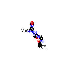 COc1cc(N2CCOCC2)ccc1Nc1ncc2c(n1)C1(CC1)C(=O)N(c1cc(NC(=O)c3cccc(C(F)(F)F)c3)ccc1C)C2